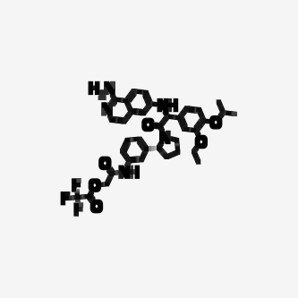 CCOc1cc([C@H](Nc2ccc3c(N)nccc3c2)C(=O)N2CCC[C@@H]2c2cccc(NC(=O)COC(=O)C(F)(F)F)c2)ccc1OC(C)C